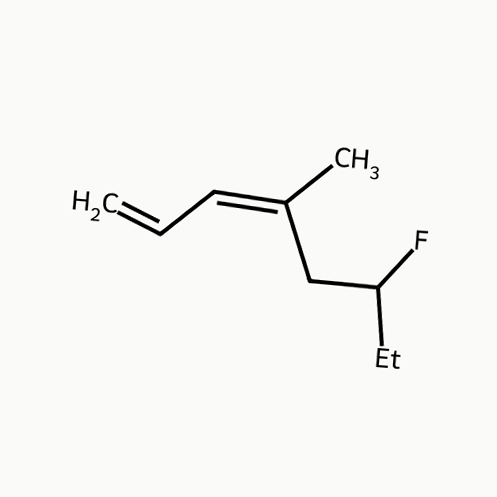 C=C/C=C(/C)CC(F)CC